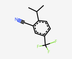 CC(C)c1ccc(C(F)(F)F)cc1C#N